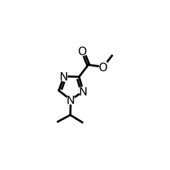 COC(=O)c1ncn(C(C)C)n1